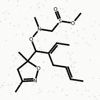 C/C=C/C/C(=C\C)C(ON(C)CS(=O)OC)C1(C)CC(C)=NO1